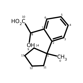 CC1(c2ccccc2C(O)C(=O)O)CCCC1